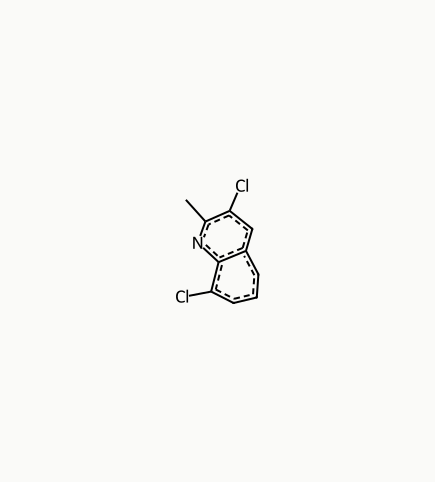 Cc1nc2c(Cl)cccc2cc1Cl